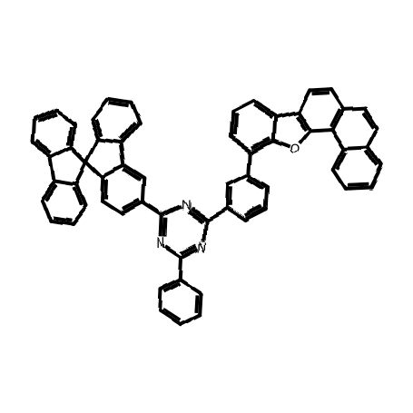 c1ccc(-c2nc(-c3cccc(-c4cccc5c4oc4c5ccc5ccc6ccccc6c54)c3)nc(-c3ccc4c(c3)-c3ccccc3C43c4ccccc4-c4ccccc43)n2)cc1